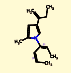 C=C(CC)c1cc(C)n(C(/C=C\C)=C/C)c1